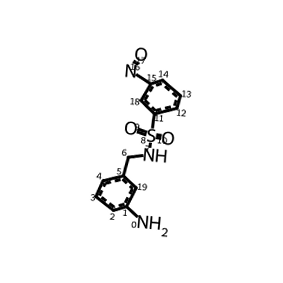 Nc1cccc(CNS(=O)(=O)c2cccc(N=O)c2)c1